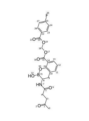 CC(=O)CCC(=O)NC1Cc2cccc(C(=O)OCOC(=O)c3ccc(F)cc3)c2OB1O